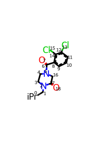 CC(C)CN1CCN(C(=O)c2cccc(Cl)c2Cl)CC1=O